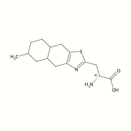 CC1CCC2Cc3sc(C[C@@H](N)C(=O)O)nc3CC2C1